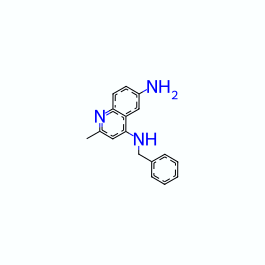 Cc1cc(NCc2ccccc2)c2cc(N)ccc2n1